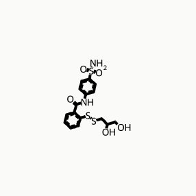 NS(=O)(=O)c1ccc(NC(=O)c2ccccc2SSCC(O)CO)cc1